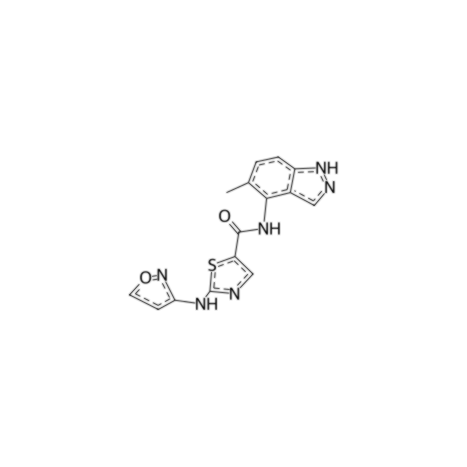 Cc1ccc2[nH]ncc2c1NC(=O)c1cnc(Nc2ccon2)s1